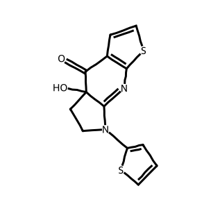 O=C1c2ccsc2N=C2N(c3cccs3)CCC12O